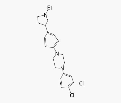 CCN1CCC(c2ccc(N3CCN(c4ccc(Cl)c(Cl)c4)CC3)cc2)C1